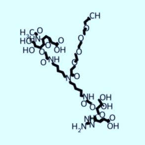 C#CCOCCOCCOCCOCCC(=O)N(CCCCCNC(=O)CO[C@H]([C@H](O)CO)[C@H]1C[C@@H](NC(=N)N)C=C(C(=O)O)O1)CCCCCNC(=O)CO[C@@H]([C@@H]1OC(C(=O)O)=CC[C@H]1NC(C)=O)[C@H](O)CO